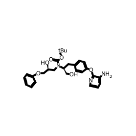 CC(C)(C)OC(=O)N(C[C@H](O)COc1ccccc1)[C@H](CO)Cc1ccc(Oc2ncccc2N)cc1